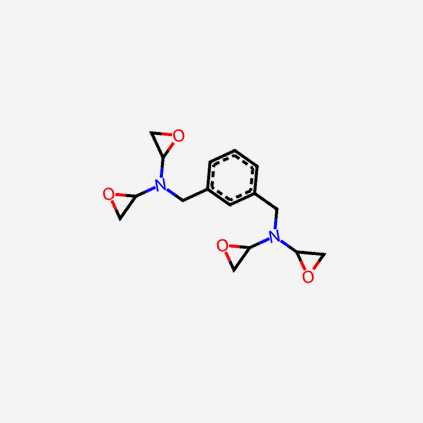 c1cc(CN(C2CO2)C2CO2)cc(CN(C2CO2)C2CO2)c1